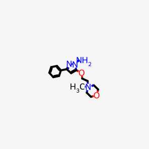 C[N+]1(CCOc2cc(-c3ccccc3)nn2N)CCOCC1